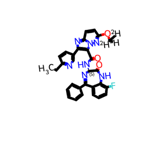 [2H]C([2H])([2H])Oc1ccc2nc(-c3ccc(CC)nc3)c(C(=O)N[C@H]3N=C(c4ccccc4)c4cccc(F)c4NC3=O)n2n1